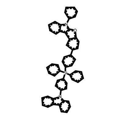 c1ccc(-n2c3ccccc3c3c4cc(-c5ccc([Si](c6ccccc6)(c6ccccc6)c6ccc(-n7c8ccccc8c8ccccc87)cc6)cc5)ccc4oc32)cc1